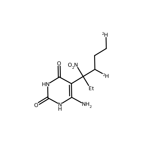 [2H]CCC([2H])C(CC)(c1c(N)[nH]c(=O)[nH]c1=O)[N+](=O)[O-]